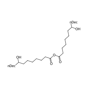 CCCCCCCCCCC(O)CCCCCCC(=O)OC(=O)CCCCCCC(O)CCCCCCCCCC